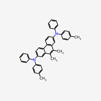 Cc1ccc(N(c2ccccc2)c2ccc3c(c2)c(C)c(C)c2cc(N(c4ccccc4)c4ccc(C)cc4)ccc23)cc1